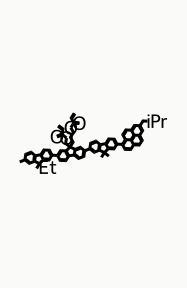 C=CC(=O)OCCCC1(COC(=O)C=C)c2cc(-c3ccc4c(c3)C(C)(C)c3cc(-c5ccc6ccc7cc(CC(C)C)cc8ccc5c6c78)ccc3-4)ccc2-c2ccc(-c3ccc4c(c3)C(C)(CC)c3cc(C)ccc3-4)cc21